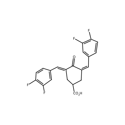 O=C1/C(=C\c2ccc(F)c(F)c2)CC(C(=O)O)C/C1=C\c1ccc(F)c(F)c1